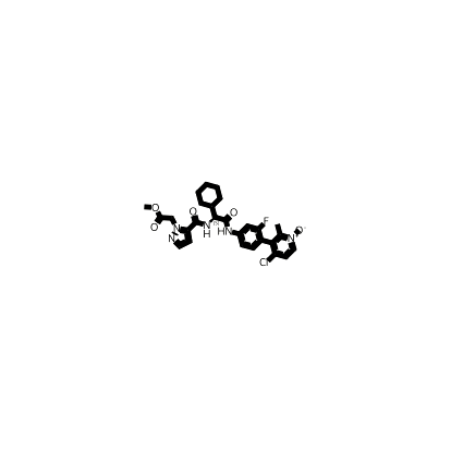 COC(=O)Cn1nccc1C(=O)N[C@H](C(=O)Nc1ccc(-c2c(Cl)cc[n+]([O-])c2C)c(F)c1)C1CCCCC1